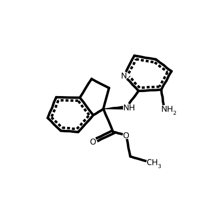 CCOC(=O)[C@@]1(Nc2ncccc2N)CCc2ccccc21